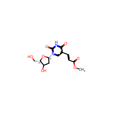 COC(=O)C=Cc1cn([C@@H]2CC(O)[C@H](CO)O2)c(=O)[nH]c1=O